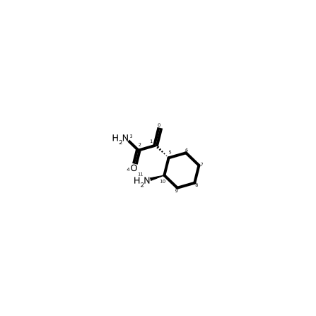 C=C(C(N)=O)[C@@H]1CCCC[C@H]1N